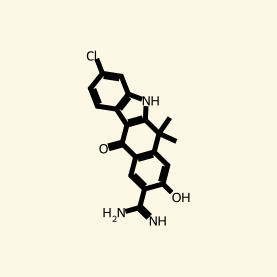 CC1(C)c2cc(O)c(C(=N)N)cc2C(=O)c2c1[nH]c1cc(Cl)ccc21